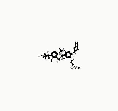 COCCOc1cc2c(N[C@H](C)c3cccc(C(F)(F)C(C)(C)O)c3F)nc(C)nc2cc1OC1CNC1